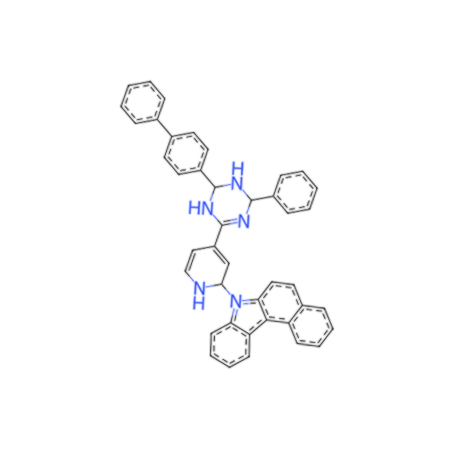 C1=CC(C2=NC(c3ccccc3)NC(c3ccc(-c4ccccc4)cc3)N2)=CC(n2c3ccccc3c3c4ccccc4ccc32)N1